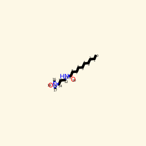 CCCCCCCCCC(=O)NCCC[N+](C)(C)[O-]